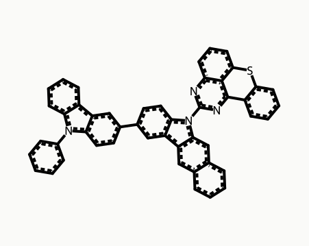 c1ccc(-n2c3ccccc3c3cc(-c4ccc5c(c4)c4cc6ccccc6cc4n5-c4nc5c6c(cccc6n4)Sc4ccccc4-5)ccc32)cc1